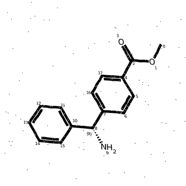 COC(=O)c1ccc([C@H](N)c2ccccc2)cc1